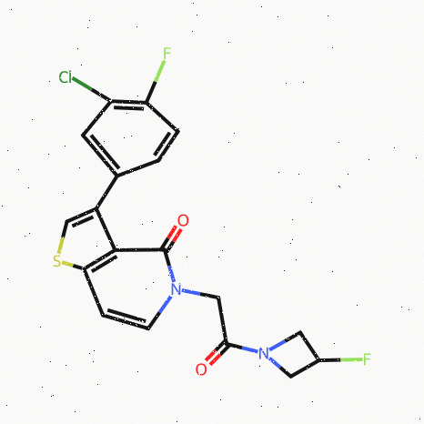 O=C(Cn1ccc2scc(-c3ccc(F)c(Cl)c3)c2c1=O)N1CC(F)C1